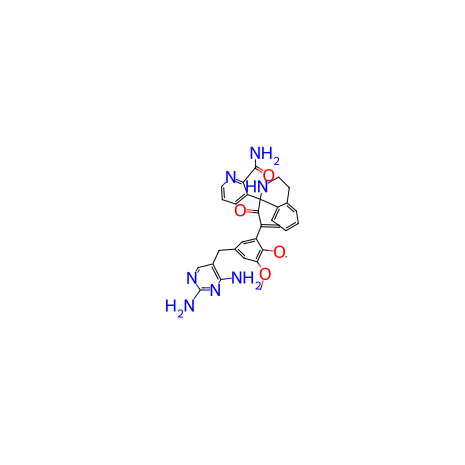 C=C(C(=O)C1(c2cccnc2C(N)=O)NCCc2ccccc21)c1cc(Cc2cnc(N)nc2N)cc(OC)c1OC